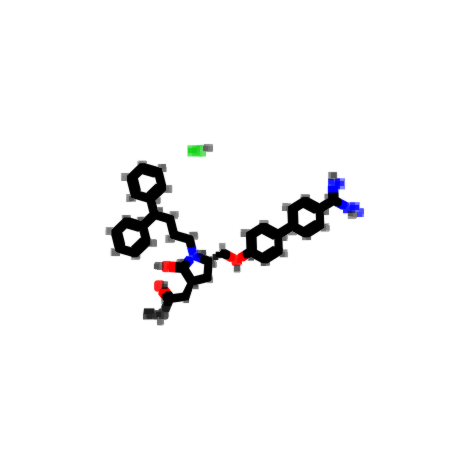 COC(=O)C[C@@H]1C[C@@H](COc2ccc(-c3ccc(C(=N)N)cc3)cc2)N(CCCC(c2ccccc2)c2ccccc2)C1=O.Cl